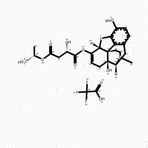 COc1ccc2c3c1O[C@H]1C(OC(=O)[C@@H](O)CC(=O)O[C@@H](C)C(=O)O)=CC[C@@]4(O)[C@@H](C2)N(C)CC[C@]314.O=C(O)C(F)(F)F